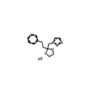 Cl.c1ccc(CCC2(Cn3ccnn3)OCCO2)cc1